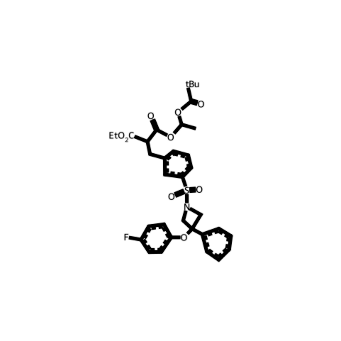 CCOC(=O)C(Cc1cccc(S(=O)(=O)N2CC(Oc3ccc(F)cc3)(c3ccccc3)C2)c1)C(=O)OC(C)OC(=O)C(C)(C)C